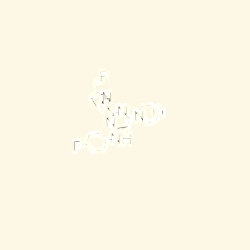 FCc1ccn(-c2nc(NC3CCC(F)CC3)cc(N3CCOCC3)n2)n1